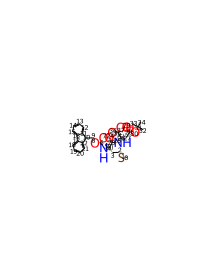 CSCC[C@H](NC(=O)OCC1c2ccccc2-c2ccccc21)C(=O)N[C@@H](CC(=O)OC(C)(C)C)C(=O)O